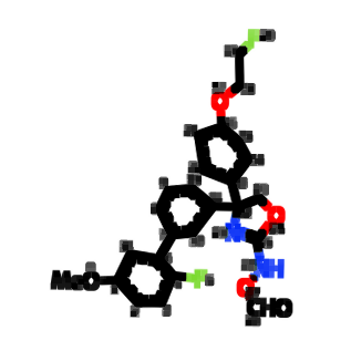 COc1ccc(F)c(-c2cccc(C3(c4ccc(OCCF)cc4)COC(NOC=O)=N3)c2)c1